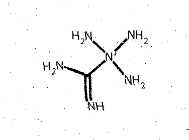 N=C(N)[N+](N)(N)N